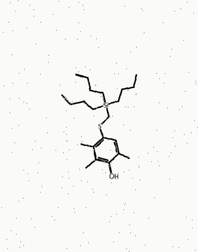 CCCC[Si](CCCC)(CCCC)CSc1cc(C)c(O)c(C)c1C